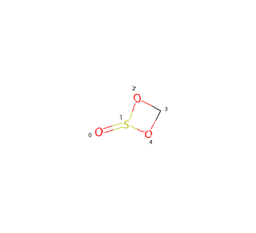 O=S1OCO1